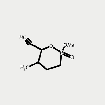 C#CC1OP(=O)(OC)CCC1C